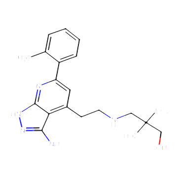 Cc1ccccc1-c1cc(CCNCC(C)(C)CO)c2c(N)n[nH]c2n1